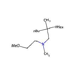 CCCCCCC(C)(CCCC)CN(C)CCOC